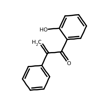 C=C(C(=O)c1ccccc1O)c1ccccc1